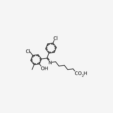 Cc1cc(Cl)cc(/C(=N/CCCCCC(=O)O)c2ccc(Cl)cc2)c1O